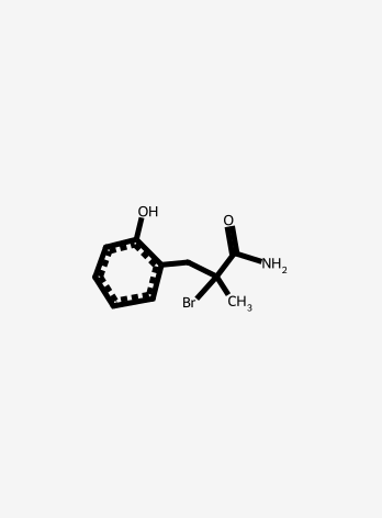 CC(Br)(Cc1ccccc1O)C(N)=O